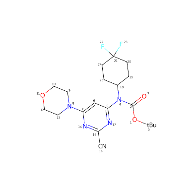 CC(C)(C)OC(=O)N(c1cc(N2CCOCC2)nc(C#N)n1)C1CCC(F)(F)CC1